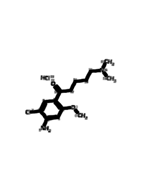 COc1cc(N)c(Cl)cc1C(=O)CCCCN(C)C.Cl